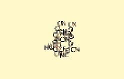 N#Cc1cc(-c2cc(-n3c4cc(-c5ccc(C#N)cc5C#N)ccc4c4ccc(-c5ccc(C#N)cc5C#N)cc43)c(C#N)cc2-n2c3cc(-c4ccc(C#N)cc4C#N)ccc3c3ccc(-c4ccc(C#N)cc4C#N)cc32)cc(C(F)(F)F)c1